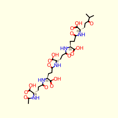 CC(=O)N[C@@H](CCC(=O)N[C@@H](CCC(=O)N[C@@H](CCC(=O)N[C@@H](CCC(=O)N[C@@H](CCC(=O)C(C)C)C(=O)O)C(=O)O)C(=O)O)C(=O)O)C(=O)O